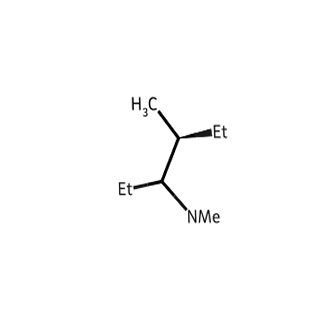 CCC(NC)[C@@H](C)CC